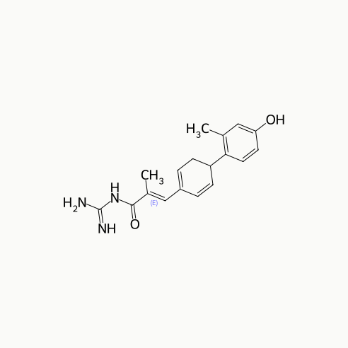 C/C(=C\C1=CCC(c2ccc(O)cc2C)C=C1)C(=O)NC(=N)N